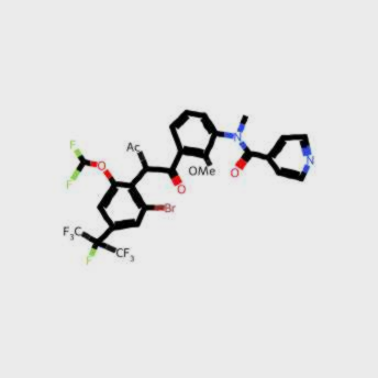 COc1c(C(=O)C(C(C)=O)c2c(Br)cc(C(F)(C(F)(F)F)C(F)(F)F)cc2OC(F)F)cccc1N(C)C(=O)c1ccncc1